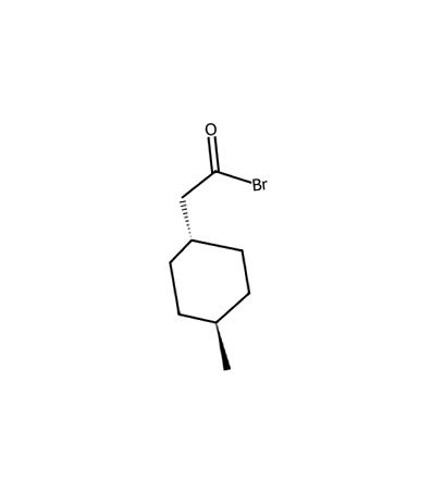 C[C@H]1CC[C@H](CC(=O)Br)CC1